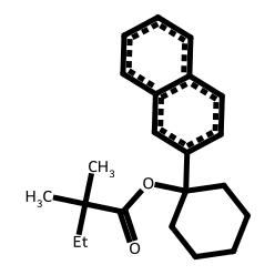 CCC(C)(C)C(=O)OC1(c2ccc3ccccc3c2)CCCCC1